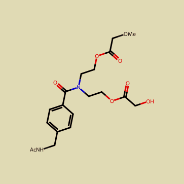 COCC(=O)OCCN(CCOC(=O)CO)C(=O)c1ccc(CNC(C)=O)cc1